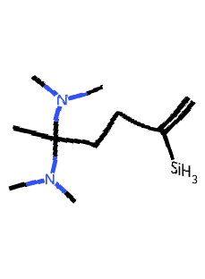 C=C([SiH3])CCC(C)(N(C)C)N(C)C